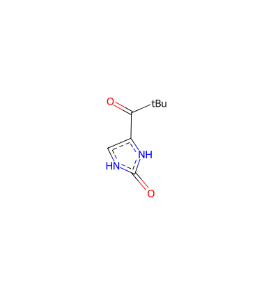 CC(C)(C)C(=O)c1c[nH]c(=O)[nH]1